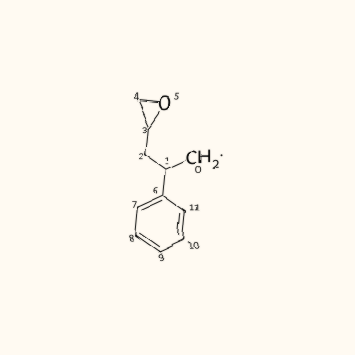 [CH2]C(CC1CO1)c1ccccc1